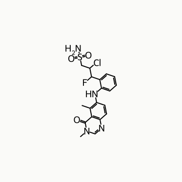 Cc1c(Nc2ccccc2C(F)C(Cl)CS(N)(=O)=O)ccc2ncn(C)c(=O)c12